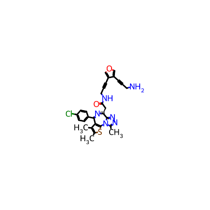 Cc1sc2c(c1C)C(c1ccc(Cl)cc1)=N[C@@H](CC(=O)NCC#Cc1cocc1C#CCN)c1nnc(C)n1-2